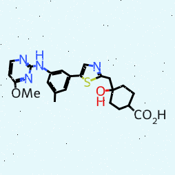 COc1ccnc(Nc2cc(C)cc(-c3cnc(CC4(O)CCC(C(=O)O)CC4)s3)c2)n1